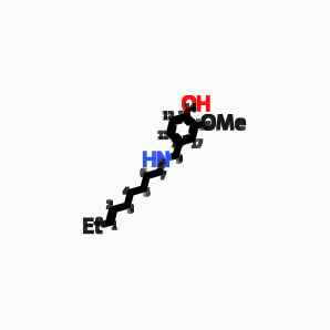 CCC=CCCCCCNCc1ccc(O)c(OC)c1